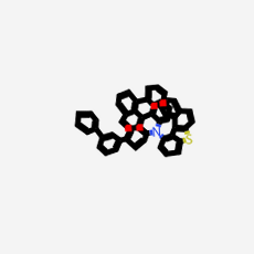 c1ccc(-c2cccc(-c3ccc(N(c4ccccc4-c4cccc5cccc(-c6ccccc6)c45)c4cccc5sc6ccc7ccccc7c6c45)cc3)c2)cc1